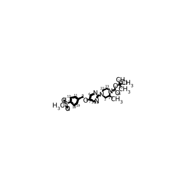 CC1CN(c2ncc(OCc3ccc(S(C)(=O)=O)cc3)cn2)CCN1C(=O)OC(C)(C)C